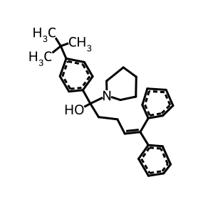 CC(C)(C)c1ccc(C(O)(CCC=C(c2ccccc2)c2ccccc2)N2CCCCC2)cc1